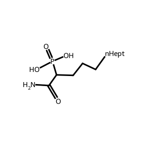 CCCCCCCCCCC(C(N)=O)P(=O)(O)O